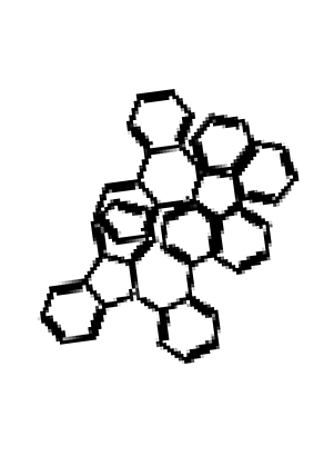 c1ccc(-n2c3ccccc3c3ccccc32)c(-c2ccc3c(c2)c2ccccc2n3-c2ccccc2-c2ccccc2-n2c3ccccc3c3ccccc32)c1